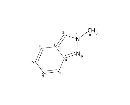 Cn1cc2cc[c]cc2n1